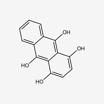 Oc1ccc(O)c2c(O)c3ccccc3c(O)c12